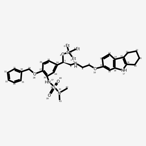 CC[Si](CC)(CC)O[C@@H](CNCCOc1ccc2c3c([nH]c2c1)CCCC3)c1ccc(OCc2ccccc2)c(NS(=O)(=O)N(C)C)c1